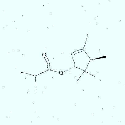 CC1=C[C@@H](OC(=O)C(C)C)C(C)(C)[C@@H]1C